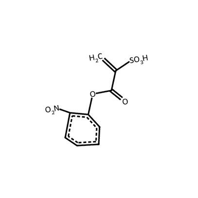 C=C(C(=O)Oc1ccccc1[N+](=O)[O-])S(=O)(=O)O